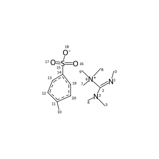 CN=C(N(C)C)[N+](C)(C)C.Cc1ccc(S(=O)(=O)[O-])cc1